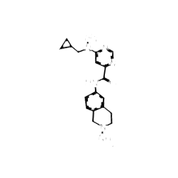 CCCN(CC1CC1)c1cc(C(=O)Nc2ccc3c(c2)CCN(N)C3)ncn1